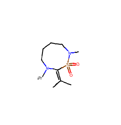 CC(C)=C1N(C(C)C)CCCCN(C)S1(=O)=O